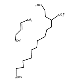 CC=CCCCCCCCCCCC.CCCCCCCCCCCCCCCCCCCCC(CCCCCCCCCCCC)C(=O)O